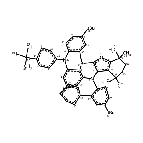 Cc1cc2c3c(c1)N(c1ccc(C(C)(C)C)cc1-c1ccccc1)c1c(oc4c1C(C)(C)CCC4(C)C)B3c1cc(C(C)(C)C)ccc1N2c1ccc(C(C)(C)I)cc1